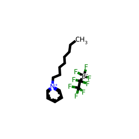 CCCCCCCC[n+]1ccccc1.F[B-](F)(F)C(F)(F)C(F)(F)F